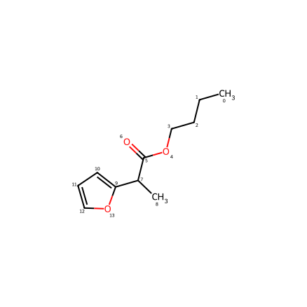 CCCCOC(=O)C(C)c1ccco1